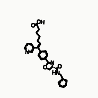 O=C(O)CCCCC=C(c1ccc(C2=N[C@H](C(=O)NCc3ccccc3)CO2)cc1)c1cccnc1